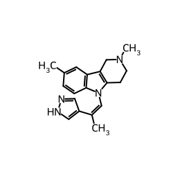 C/C(=C/n1c2c(c3cc(C)ccc31)CN(C)CC2)c1cn[nH]c1